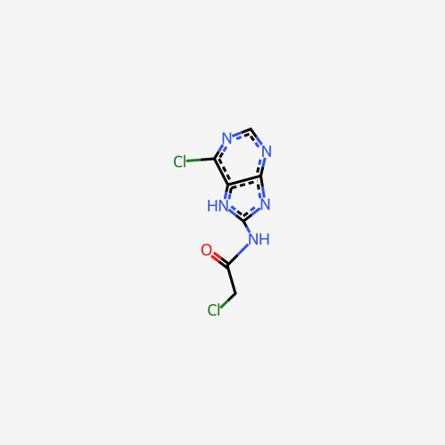 O=C(CCl)Nc1nc2ncnc(Cl)c2[nH]1